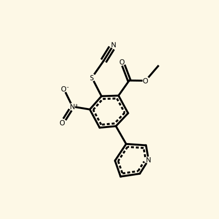 COC(=O)c1cc(-c2cccnc2)cc([N+](=O)[O-])c1SC#N